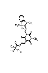 CCC(C)(C)C(=O)OCCN1C(=O)/C(=C/C=C2/N(C)c3ccccc3C2(C)C)C(=O)N(C)C1=O